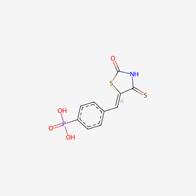 O=C1NC(=S)/C(=C/c2ccc(P(=O)(O)O)cc2)S1